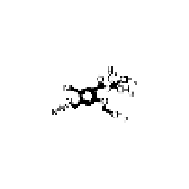 CCOc1cc(CN=[N+]=[N-])c(C#N)cc1C(=O)OC(C)(C)C